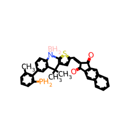 BN1c2ccc(-c3c(C)cccc3P)cc2C(C)(C)c2cc(C=C3C(=O)c4cc5ccccc5cc4C3=O)sc21